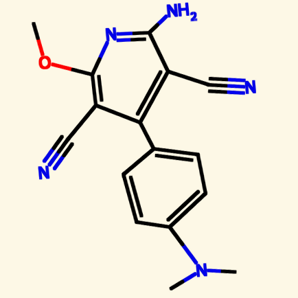 COc1nc(N)c(C#N)c(-c2ccc(N(C)C)cc2)c1C#N